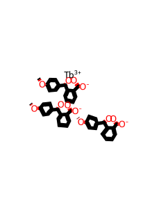 COc1ccc(C(=O)c2ccccc2C(=O)[O-])cc1.COc1ccc(C(=O)c2ccccc2C(=O)[O-])cc1.COc1ccc(C(=O)c2ccccc2C(=O)[O-])cc1.[Tb+3]